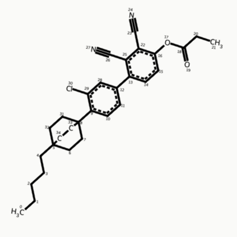 CCCCCC12CCC(c3ccc(-c4ccc(OC(=O)CC)c(C#N)c4C#N)cc3Cl)(CC1)CC2